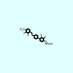 CCCCCOc1ccc(-c2ccc(CCc3ccc(C)c(F)c3F)cc2)c(F)c1F